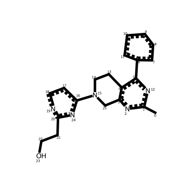 Cc1nc2c(c(-c3ccccc3)n1)CCN(c1ccnc(CCO)n1)C2